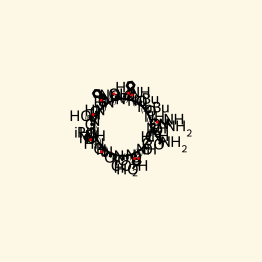 CCCC[C@H]1C(=O)N(C)[C@@H](CCCC)C(=O)N[C@@H](CCCNC(=N)N)C(=O)N[C@H](C(=O)NCC(N)=O)CSCC(=O)N[C@@H](Cc2ccc(O)cc2)C(=O)N(C)[C@@H](C)C(=O)N[C@@H](CCC(=O)O)C(=O)N2CCC[C@H]2C(=O)N[C@@H](Cc2cnc[nH]2)C(=O)N[C@@H](CC(C)C)C(=O)N2C[C@H](O)C[C@H]2C(=O)N[C@@H](Cc2c[nH]c3ccccc23)C(=O)N[C@@H](CO)C(=O)N[C@@H](Cc2c[nH]c3ccccc23)C(=O)N1C